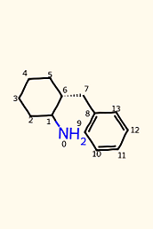 NC1CCCC[C@@H]1Cc1ccccc1